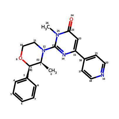 C[C@H]1[C@@H](c2ccccc2)OCCN1c1nc(-c2ccncc2)cc(=O)n1C